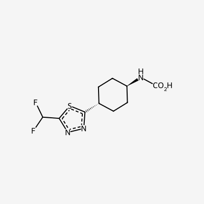 O=C(O)N[C@H]1CC[C@H](c2nnc(C(F)F)s2)CC1